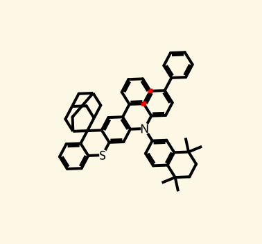 CC1(C)CCC(C)(C)c2cc(N(c3ccc(-c4ccccc4)cc3)c3cc4c(cc3-c3ccccc3)C3(c5ccccc5S4)C4CC5CC(C4)CC3C5)ccc21